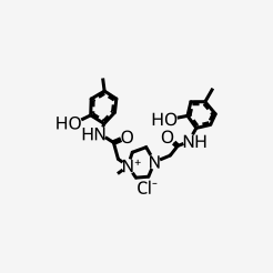 Cc1ccc(NC(=O)CN2CC[N+](C)(CC(=O)Nc3ccc(C)cc3O)CC2)c(O)c1.[Cl-]